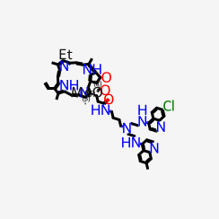 C=Cc1c(C)c2cc3nc(c4c5[nH]c(cc6nc(cc1[nH]2)C(C)=C6CC)c(C)c5C(=O)[C@@H]4C(=O)OC)[C@@H](CCC(=O)NCCCCN(CCNc1ccnc2cc(C)ccc12)CCNc1ccnc2cc(Cl)ccc12)[C@@H]3C